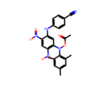 CC(=O)ON(c1cc(Nc2ccc(C#N)cc2)c([N+](=O)[O-])cc1[N+](=O)[O-])c1c(C)cc(C)cc1C